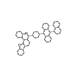 c1ccc2c(-c3c4ccccc4c(-c4ccc(-c5nc6ccccc6c6c5ccc5c7ccccc7oc56)cc4)c4ccccc34)cccc2c1